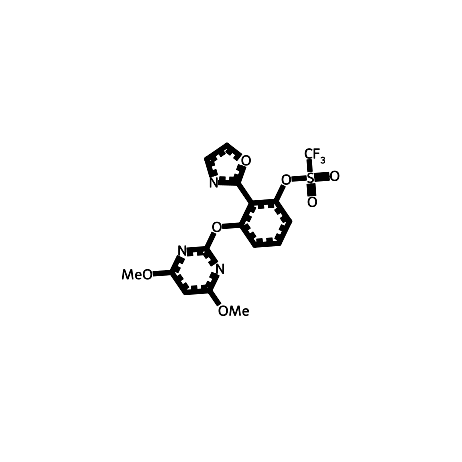 COc1cc(OC)nc(Oc2cccc(OS(=O)(=O)C(F)(F)F)c2-c2ncco2)n1